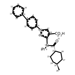 CC(C)N(c1nn(-c2ccc(-c3ccccc3)cc2)cc1C(=O)O)C(=O)[C@H]1CC[C@H](C)CC1